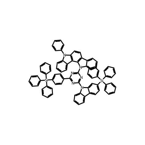 c1ccc(-n2c3ccccc3c3c2ccc2c4ccccc4n(-c4nc(-c5ccc([Si](c6ccccc6)(c6ccccc6)c6ccccc6)cc5)nc(-n5c6ccccc6c6ccc([Si](c7ccccc7)(c7ccccc7)c7ccccc7)cc65)n4)c23)cc1